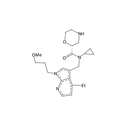 CCc1ccnc2c1c(CN(C(=O)[C@H]1CNCCO1)C1CC1)cn2CCCOC